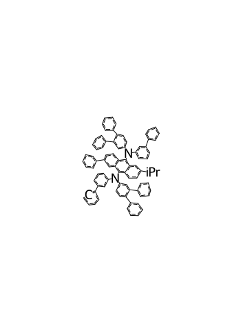 CC(C)c1ccc2c(N(c3cccc(-c4ccccc4)c3)c3ccc(-c4ccccc4)c(-c4ccccc4)c3)c3cc(-c4ccccc4)ccc3c(N(c3cccc(-c4ccccc4)c3)c3ccc(-c4ccccc4)c(-c4ccccc4)c3)c2c1